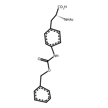 CC(=O)N[C@H](Cc1ccc(NC(=O)OCc2ccccc2)cc1)C(=O)O